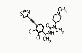 CC(NC(=O)N(C)C1CCN(C)CC1)c1ccc(C#Cc2cscn2)c(Cl)c1Cl